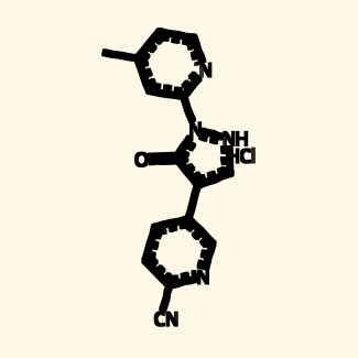 Cc1ccnc(-n2[nH]cc(-c3ccc(C#N)nc3)c2=O)c1.Cl